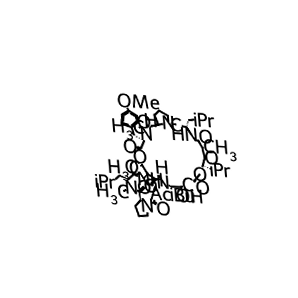 CC[C@H](C)[C@H]1NC(=O)[C@@H](NC(=O)[C@H](CC(C)C)N(C)C(=O)[C@@H]2CCCN2C(=O)C(C)=O)[C@@H](C)OC(=O)[C@H](Cc2ccc(OC)cc2)N(C)C(=O)[C@@H]2CCCN2C[C@H](CC(C)C)NC(=O)[C@@H](C)C(=O)[C@H](C(C)C)OC(=O)C[C@@H]1O